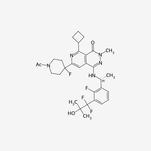 CC(=O)N1CCC(F)(c2cc3c(N[C@H](C)c4cccc(C(F)(F)C(C)(C)O)c4F)nn(C)c(=O)c3c(C3CCC3)n2)CC1